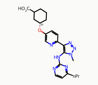 CCCc1ccnc(Nc2c(-c3ccc(O[C@H]4CCCC(C(=O)O)C4)cn3)nnn2C)n1